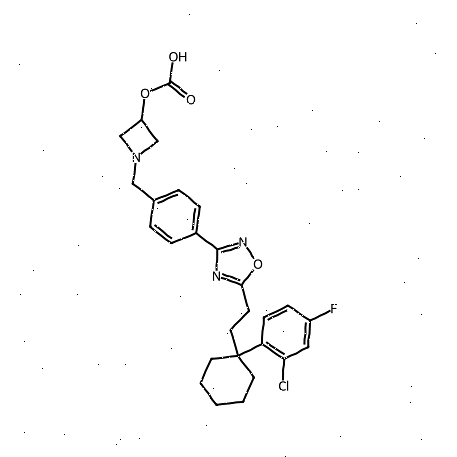 O=C(O)OC1CN(Cc2ccc(-c3noc(CCC4(c5ccc(F)cc5Cl)CCCCC4)n3)cc2)C1